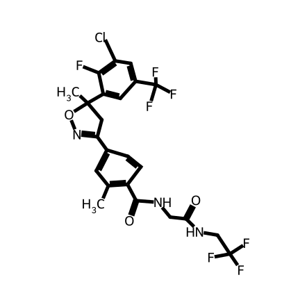 Cc1cc(C2=NOC(C)(c3cc(C(F)(F)F)cc(Cl)c3F)C2)ccc1C(=O)NCC(=O)NCC(F)(F)F